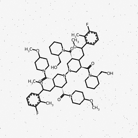 COC1CCN(C(=O)[C@H]2CN(N3C[C@H](C(=O)N4CCCC[C@@H]4CO)C(CC(OC)c4cccc(F)c4C)[C@@H](C(=O)N4CCCC[C@@H]4CO)C3)C[C@@H](C(=O)N3CCC(OC)CC3)C2CC(OC)c2cccc(F)c2C)CC1